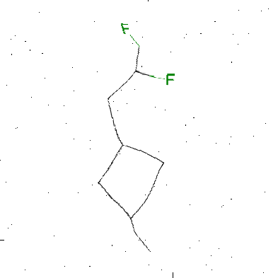 CC1CC(CC(F)F)C1